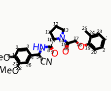 COc1ccc(C(C#N)NC(=O)[C@@H]2CCCN2C(=O)COc2ccccc2C)cc1OC